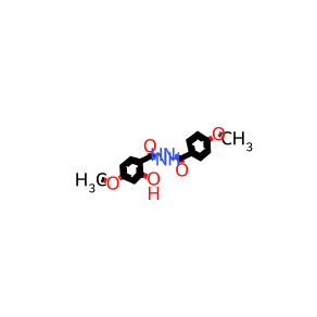 COc1ccc(C(=O)NNC(=O)c2ccc(OC)cc2O)cc1